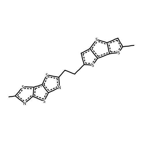 Cc1cc2sc3cc(CCc4nc5sc6nc(C)sc6c5s4)sc3c2s1